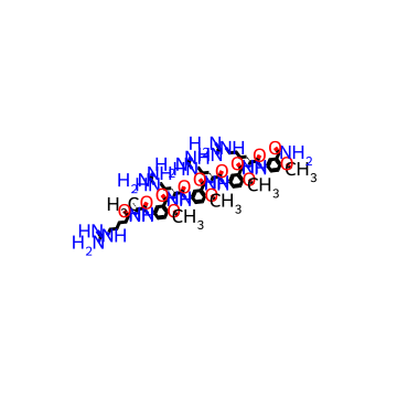 COc1ccc(NC(=O)[C@@H](CCCCNC(=N)N)NC(=O)c2cc(NC(=O)[C@@H](CCCNC(=N)N)NC(=O)c3cc(NC(=O)[C@@H](CCCNC(=N)N)NC(=O)c4cc(NC(=O)[C@@H](C)NC(=O)CCCCNC(=N)N)ccc4OC)ccc3OC)ccc2OC)cc1C(N)=O